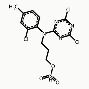 Cc1ccc(N(CCCO[SH](=O)=O)c2nc(Cl)nc(Cl)n2)c(Cl)c1